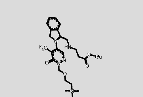 CC(C)(C)OC(=O)CCNCC1c2ccccc2CN1c1cnn(COCC[Si](C)(C)C)c(=O)c1C(F)(F)F